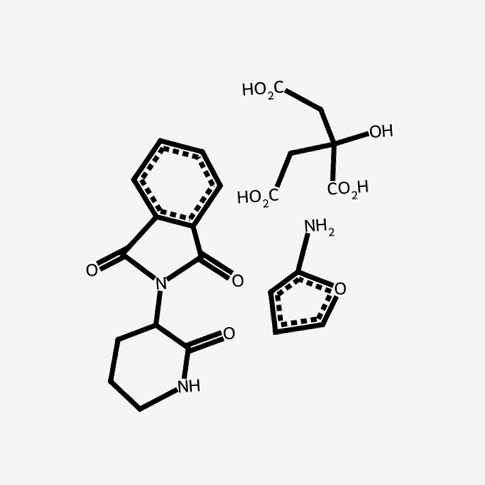 Nc1ccco1.O=C(O)CC(O)(CC(=O)O)C(=O)O.O=C1NCCCC1N1C(=O)c2ccccc2C1=O